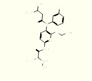 CCOc1nc(NC(=O)[C@H](C)NC)ccc1N(C(=O)CC(C)C)c1cccc(Cl)c1